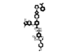 CO[C@H]1CC[C@H]([C@@H]2COc3cc(S(=O)(=O)NC(=O)c4ccc(N5CCC6(CC5)CC(N5CCC[C@H]5c5ccccc5C(C)C)C6)cc4Oc4cnc5[nH]cc(F)c5c4)cc([N+](=O)[O-])c3N2)CC1